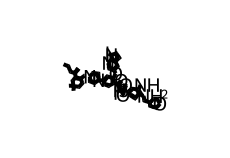 C=C(CCC)C1=C(CN2CCN(c3ccc(C(=O)N(I)S(=O)(=O)c4ccc(NCC5CCOCC5)c(N)c4)c(Oc4cnc5c(ccn5I)c4)c3)CC2)CCC(C)(C)C1